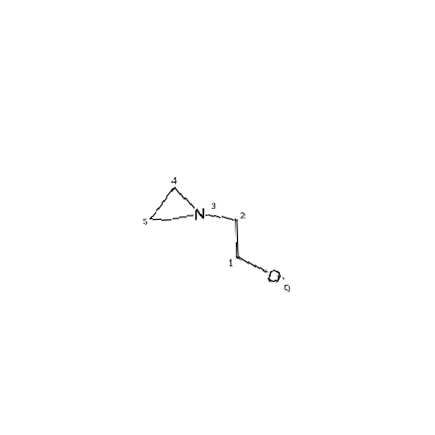 [O]CCN1CC1